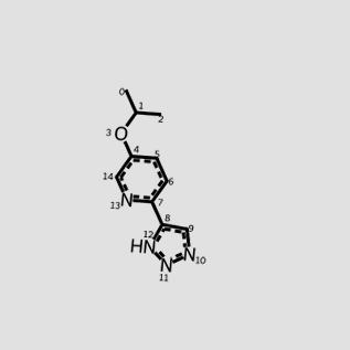 CC(C)Oc1ccc(-c2cnn[nH]2)nc1